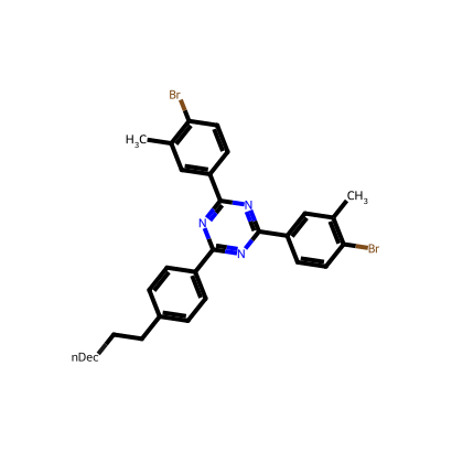 CCCCCCCCCCCCc1ccc(-c2nc(-c3ccc(Br)c(C)c3)nc(-c3ccc(Br)c(C)c3)n2)cc1